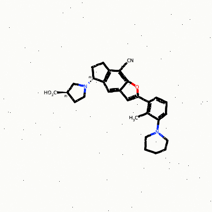 Cc1c(-c2cc3cc4c(c(C#N)c3o2)CC[C@H]4N2CC[C@@H](C(=O)O)C2)cccc1N1CCCCC1